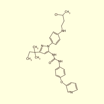 CCC(C)(C)c1cc(NC(=O)Nc2ccc(Oc3cccnc3)cc2)n(-c2ccc(NCCC(C)Cl)cc2)n1